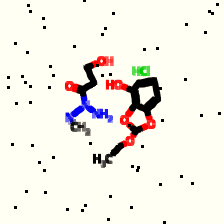 C=NN(N)C(=O)CCO.CCOC1Oc2cccc(O)c2O1.Cl